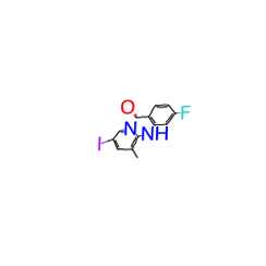 Cc1cc(I)cnc1Nc1cc(F)ccc1C=O